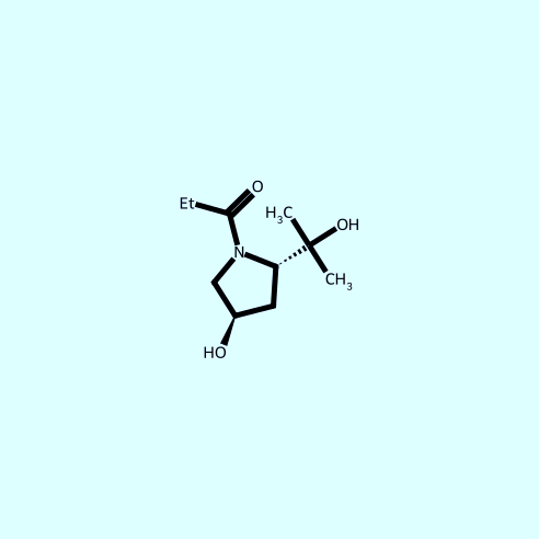 CCC(=O)N1C[C@H](O)C[C@H]1C(C)(C)O